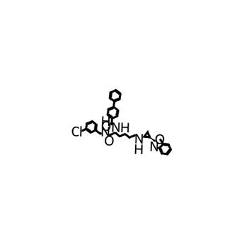 O=C(NC(CCCCN[C@@H]1C[C@H]1c1nc2ccccc2o1)C(=O)NCc1cccc(Cl)c1)c1ccc(-c2ccccc2)cc1